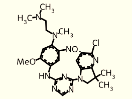 COc1cc(N(C)CCN(C)C)c([N+](=O)[O-])cc1Nc1ncnc(N2CC(C)(C)c3nc(Cl)ccc32)n1